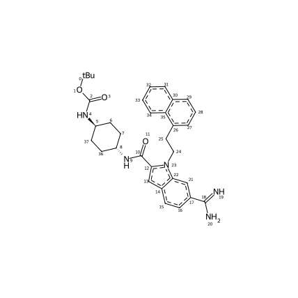 CC(C)(C)OC(=O)N[C@H]1CC[C@H](NC(=O)c2cc3ccc(C(=N)N)cc3n2CCc2cccc3ccccc23)CC1